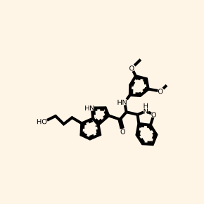 COc1cc(NC(C(=O)c2c[nH]c3c(CCCO)cccc23)C2NOc3ccccc32)cc(OC)c1